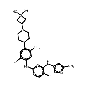 Cc1cc(Nc2nc(Nc3cc(C)c(C4CCN(C5CS(O)(O)C5)CC4)cc3Cl)ncc2Cl)n[nH]1